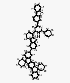 C1=CC(C2NC(c3ccc4c(c3)oc3ccccc34)=CC(C3=CCCc4c3sc3ccc(-c5ccc6c(c5)-c5cc7c(cc5C65CCCCC5)-c5ccccc5C75CCCCC5)cc43)N2)=CCC1